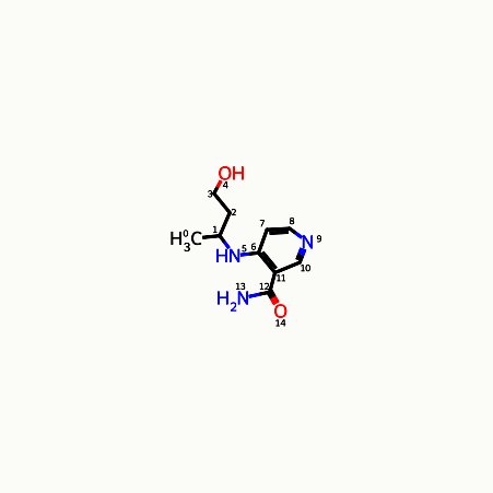 CC(CCO)Nc1ccncc1C(N)=O